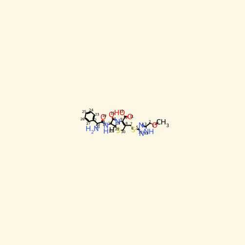 COCc1nc(SCC2=C(C(=O)O)N3C(=O)C(NC(=O)C(N)c4ccccc4)[C@@H]3SC2)n[nH]1